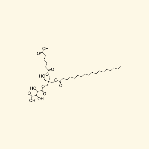 CCCCCCCCCCCCCCCCCC(=O)OCC(CO)(COC(=O)CCCCC(=O)O)COC(=O)C(O)C(O)C(=O)O